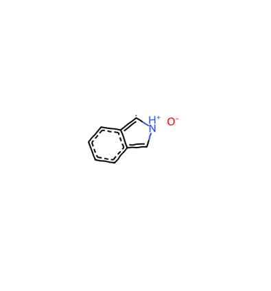 [O-][NH+]1[C]=c2ccccc2=C1